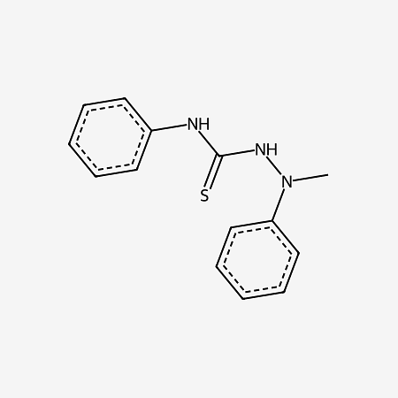 CN(NC(=S)Nc1ccccc1)c1ccccc1